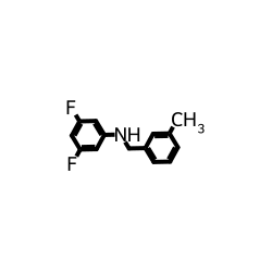 Cc1cccc(CNc2cc(F)cc(F)c2)c1